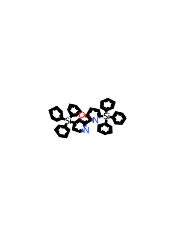 c1ccc([Si](c2ccccc2)(c2ccccc2)c2ccc3oc4c([Si](c5ccccc5)(c5ccccc5)c5ccccc5)ccnc4c3n2)cc1